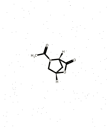 CC(=O)N1C[C@@H]2C[C@H]1C(=O)O2